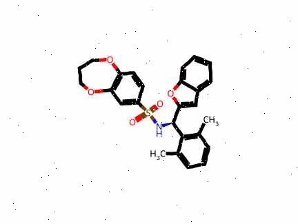 Cc1cccc(C)c1[C@@H](NS(=O)(=O)c1ccc2c(c1)OCCCO2)c1cc2ccccc2o1